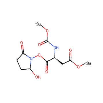 CC(C)(C)OC(=O)C[C@H](NC(=O)OC(C)(C)C)C(=O)ON1C(=O)CCC1O